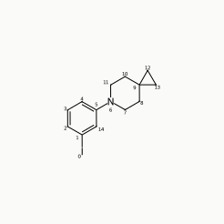 Ic1cccc(N2CCC3(CC2)CC3)c1